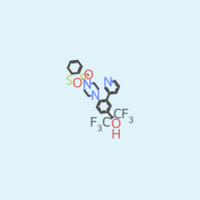 O=S(=O)(C1=CC=CCC1=S)N1CCN(c2ccc(C(O)(C(F)(F)F)C(F)(F)F)cc2-c2cccnc2)CC1